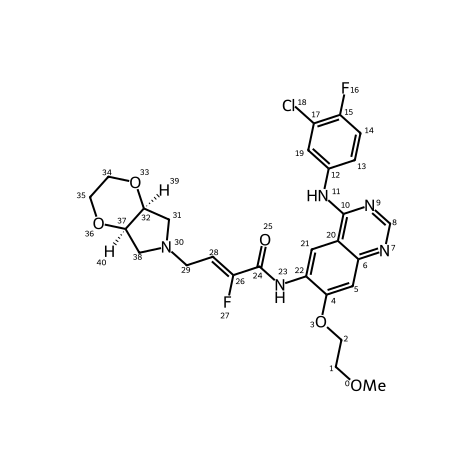 COCCOc1cc2ncnc(Nc3ccc(F)c(Cl)c3)c2cc1NC(=O)/C(F)=C/CN1C[C@@H]2OCCO[C@@H]2C1